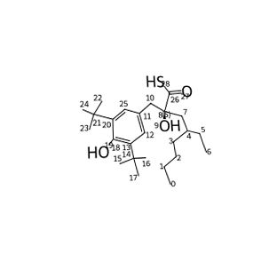 CCCCC(CC)C[C@](O)(Cc1cc(C(C)(C)C)c(O)c(C(C)(C)C)c1)C(=O)S